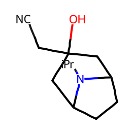 CC(C)N1C2CCC1CC(O)(CC#N)C2